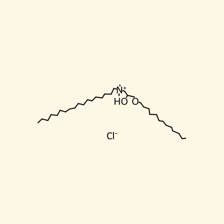 CCCCCCCCCCCCCCCCCC[N+](C)(C)CC(O)COCCCCCCCCCCCCC.[Cl-]